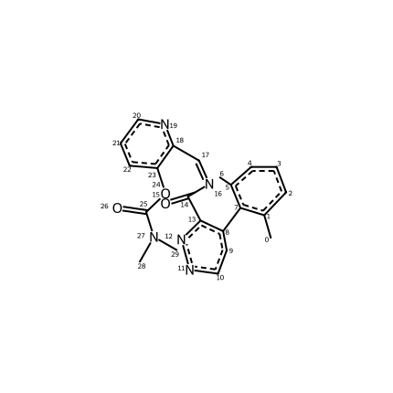 Cc1cccc(C)c1-c1ccnnc1C(=O)/N=C\c1ncccc1OC(=O)N(C)C